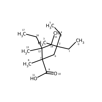 CCC(C)(CC)CC(C)(C(=O)O)C(C)(CC)CC